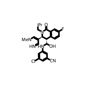 CN/C=C(\C=N)[C@@H]1[C@@H](C(O)Nc2cc(Cl)cc(C#N)c2)c2ccc(F)cc2C(=O)N1CC(C)C